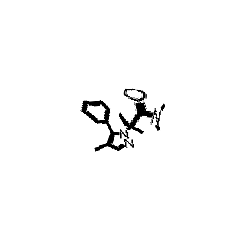 Cc1cnn(C(C)(C)C(=O)N(C)C)c1-c1ccccc1